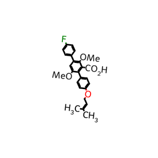 COc1cc(-c2ccc(F)cc2)c(OC)c(C(=O)O)c1-c1ccc(OCC=C(C)C)cc1